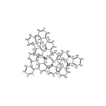 c1ccc(-c2ccccc2-c2ccccc2N(c2ccc3c(c2)C2(c4ccccc4-c4ccccc42)c2ccccc2-3)c2cccc3c2-c2ccccc2C32c3ccccc3-n3c4ccccc4c4cccc2c43)cc1